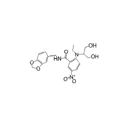 CCN(c1ccc([N+](=O)[O-])cc1C(=O)NCc1ccc2c(c1)OCO2)C(CO)CO